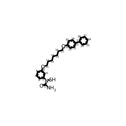 NC(=O)N(S)c1cccc(OCCCCCCCOc2ccc(-c3ccccc3)cc2)c1